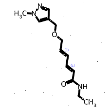 CCNC(=O)/C=C/C=C/COCc1cnn(C)c1